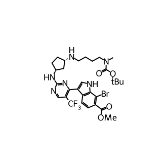 COC(=O)c1ccc2c(-c3nc(N[C@H]4CC[C@H](NCCCCN(C)C(=O)OC(C)(C)C)C4)ncc3C(F)(F)F)c[nH]c2c1Br